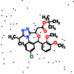 COc1cccc(C2OC(CC(=O)OC(C)(C)C)c3nnc(C(C)C)n3-c3ccc(Cl)cc32)c1OC